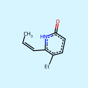 C/C=C\c1[nH]c(=O)ccc1CC